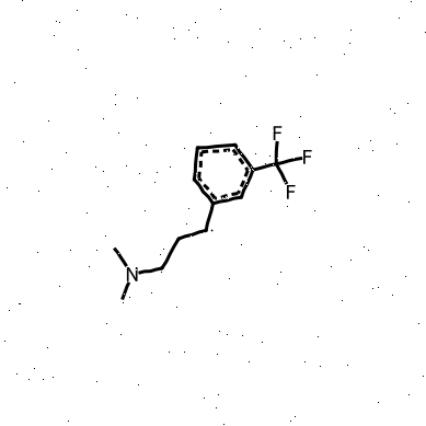 CN(C)CC[CH]c1cccc(C(F)(F)F)c1